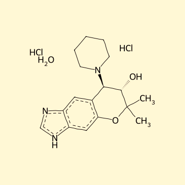 CC1(C)Oc2cc3[nH]cnc3cc2[C@@H](N2CCCCC2)[C@@H]1O.Cl.Cl.O